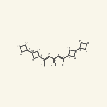 O=C(C=C(I)C1CC(C2CCC2)C1)C=C(I)C1CC(C2CCC2)C1